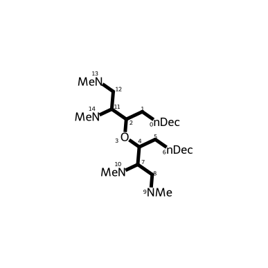 CCCCCCCCCCCC(OC(CCCCCCCCCCC)C(CNC)NC)C(CNC)NC